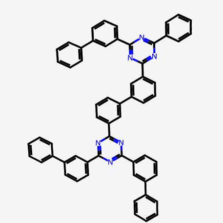 c1ccc(-c2cccc(-c3nc(-c4ccccc4)nc(-c4cccc(-c5cccc(-c6nc(-c7cccc(-c8ccccc8)c7)nc(-c7cccc(-c8ccccc8)c7)n6)c5)c4)n3)c2)cc1